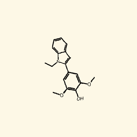 CCn1c(-c2cc(OC)c(O)c(OC)c2)cc2ccccc21